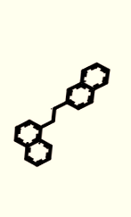 [CH](Cc1cccc2ccccc12)c1ccc2ccccc2c1